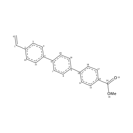 C=Cc1ccc(-c2ccc(-c3ccc(C(=O)OC)cc3)cc2)cc1